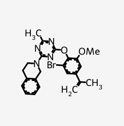 C=C(C)c1cc(Br)c(Oc2nc(C)nc(N3CCc4ccccc4C3)n2)c(OC)c1